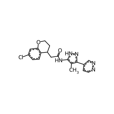 Cc1c(-c2ccnnc2)n[nH]c1NC(=O)CC1CCOc2cc(Cl)ccc21